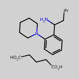 CC(C)CC(N)c1ccccc1N1CCCCC1.O=C(O)CCCC(=O)O